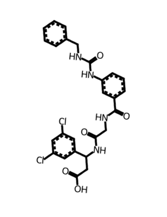 O=C(O)CC(NC(=O)CNC(=O)c1cccc(NC(=O)NCc2ccccc2)c1)c1cc(Cl)cc(Cl)c1